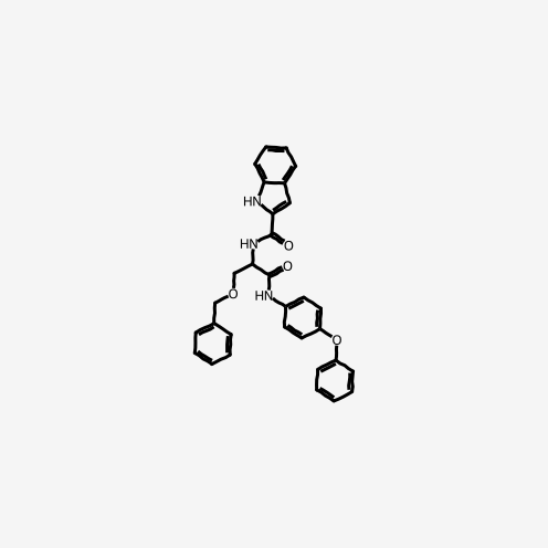 O=C(NC(COCc1ccccc1)C(=O)Nc1ccc(Oc2ccccc2)cc1)c1cc2ccccc2[nH]1